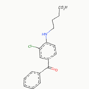 O=C(O)CCCNc1ccc(C(=O)c2ccccc2)cc1Cl